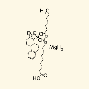 CCCCCCCCCCCCCCCCCC(=O)O.C[Si](C)(C)C1C(=O)CCC2c3ccccc3CCC21.[MgH2]